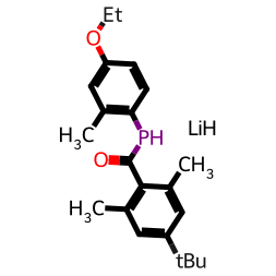 CCOc1ccc(PC(=O)c2c(C)cc(C(C)(C)C)cc2C)c(C)c1.[LiH]